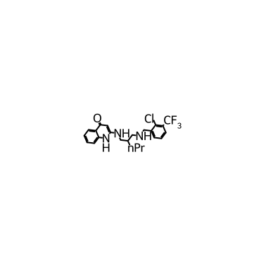 CCCC(CNCc1cccc(C(F)(F)F)c1Cl)CNc1cc(=O)c2ccccc2[nH]1